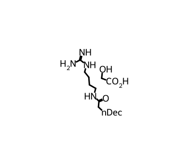 CCCCCCCCCCCC(=O)NCCCCNC(=N)N.O=C(O)CO